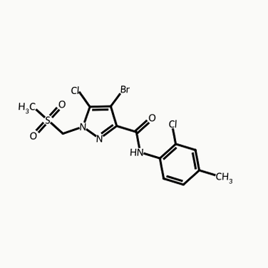 Cc1ccc(NC(=O)c2nn(CS(C)(=O)=O)c(Cl)c2Br)c(Cl)c1